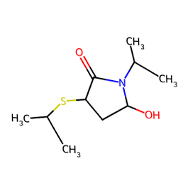 CC(C)SC1CC(O)N(C(C)C)C1=O